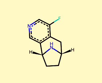 Fc1cncc2c1C[C@@H]1CC[C@H]2N1